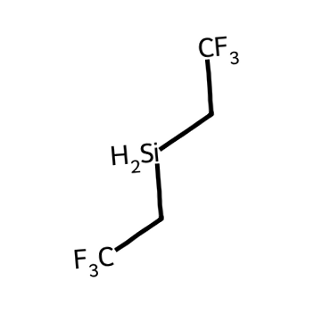 FC(F)(F)C[SiH2]CC(F)(F)F